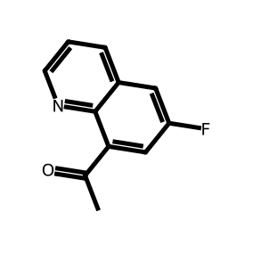 CC(=O)c1cc(F)cc2cccnc12